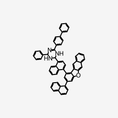 c1ccc(-c2ccc(C3=NC(c4ccccc4)NC(c4ccc(-c5cc(-c6cccc7ccccc67)cc6oc7cc8ccccc8cc7c56)c5ccccc45)N3)cc2)cc1